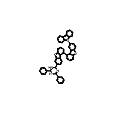 c1ccc(C2=NC(c3ccc4c(c3)sc3cccc(-c5cccc6sc7ccc(-n8c9ccccc9c9ccccc98)cc7c56)c34)NC(c3ccccc3)N2)cc1